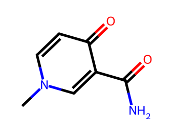 Cn1ccc(=O)c(C(N)=O)c1